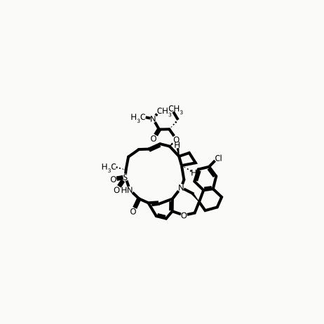 CC[C@H](O[C@H]1/C=C/CC[C@@H](C)S(=O)(=O)NC(=O)c2ccc3c(c2)N(C[C@@H]2CC[C@H]21)C[C@@]1(CCCc2cc(Cl)ccc21)CO3)C(=O)N(C)C